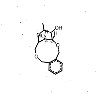 CC1OC2COCc3ccccc3CO[C@@H](C1O)[C@@H]2O